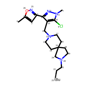 Cc1cc(-c2nn(C)c(Cl)c2CN2CCC3(CC2)CCN(CCC(C)(C)C)C3)no1